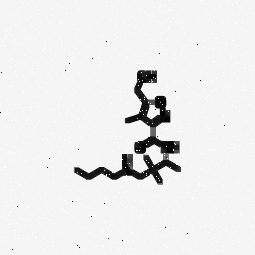 CCCCNCC(C)(C)C(C)NC(=O)c1noc(CO)c1C